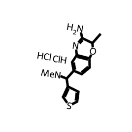 CNC(c1ccsc1)c1ccc2c(c1)N=C(N)C(C)O2.Cl.Cl